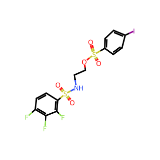 O=S(=O)(NCCOS(=O)(=O)c1ccc(I)cc1)c1ccc(F)c(F)c1F